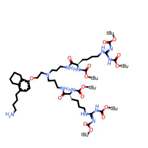 CC(C)(C)OC(=O)/N=C(\NCCCC[C@@H](NC(=O)OC(C)(C)C)C(=O)NCCCN(CCCNC(=O)[C@@H](CCCCN/C(=N\C(=O)OC(C)(C)C)NC(=O)OC(C)(C)C)NC(=O)OC(C)(C)C)CCOc1ccc(CCCCN)c2c1CCCC2)NC(=O)OC(C)(C)C